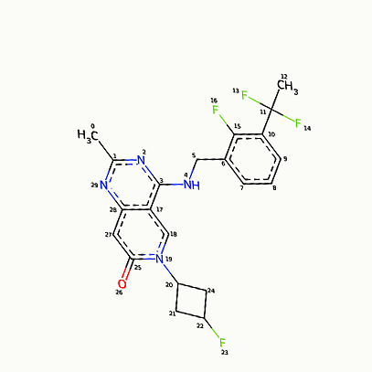 Cc1nc(NCc2cccc(C(C)(F)F)c2F)c2cn(C3CC(F)C3)c(=O)cc2n1